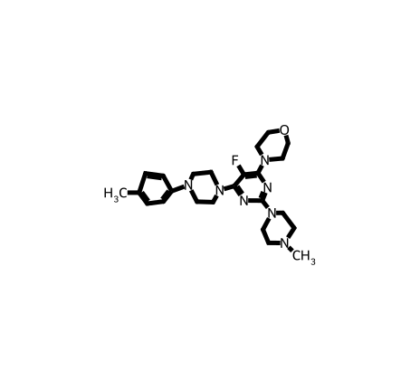 Cc1ccc(N2CCN(c3nc(N4CCN(C)CC4)nc(N4CCOCC4)c3F)CC2)cc1